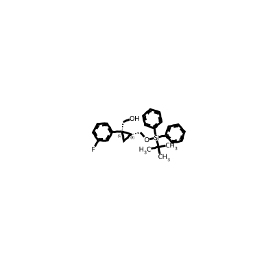 CC(C)(C)[Si](OC[C@@H]1C[C@@]1(CO)c1cccc(F)c1)(c1ccccc1)c1ccccc1